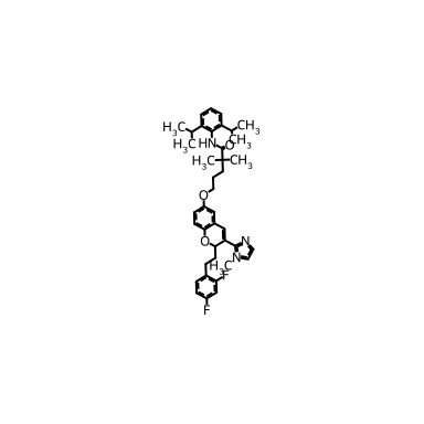 CC(C)c1cccc(C(C)C)c1NC(=O)C(C)(C)CCCOc1ccc2c(c1)C=C(c1nccn1C)C(CCc1ccc(F)cc1F)O2